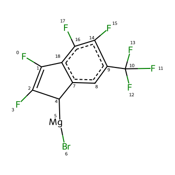 FC1=C(F)[CH]([Mg][Br])c2cc(C(F)(F)F)c(F)c(F)c21